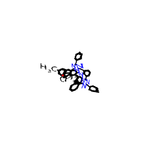 Cc1ccc(-c2ccc3c(c2)c2ccccc2n3-c2c(-c3nc(-c4ccccc4)nc(-c4ccccc4)n3)cccc2-c2nc(-c3ccccc3)nc(-c3ccccc3)n2)c(C)c1